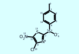 Cc1ccc([S+]([O-])c2nc(Cl)c([N+](=O)[O-])s2)cc1